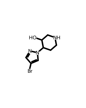 OC1CNCCC1n1cc(Br)cn1